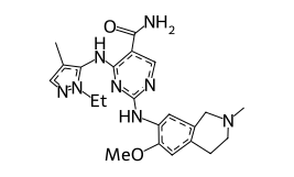 CCn1ncc(C)c1Nc1nc(Nc2cc3c(cc2OC)CCN(C)C3)ncc1C(N)=O